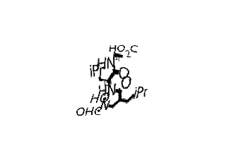 CC(C)CC(CN(O)C=O)C(=O)N[C@@H](CC(C)C)C(=O)N[C@@H](C)C(=O)O